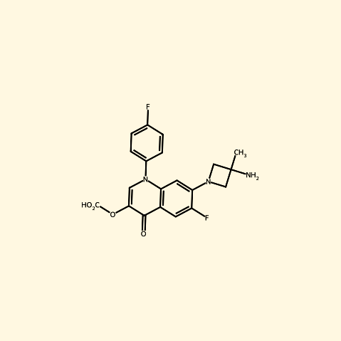 CC1(N)CN(c2cc3c(cc2F)c(=O)c(OC(=O)O)cn3-c2ccc(F)cc2)C1